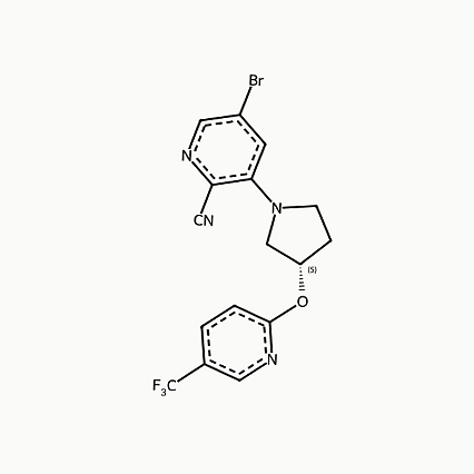 N#Cc1ncc(Br)cc1N1CC[C@H](Oc2ccc(C(F)(F)F)cn2)C1